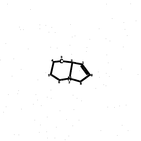 C1=CC2CCCCN2C1